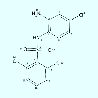 Nc1cc(Cl)ccc1NS(=O)(=O)c1c(Cl)cccc1Cl